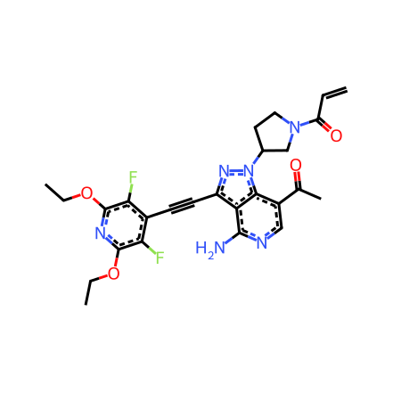 C=CC(=O)N1CCC(n2nc(C#Cc3c(F)c(OCC)nc(OCC)c3F)c3c(N)ncc(C(C)=O)c32)C1